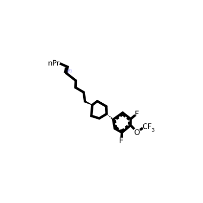 CCC/C=C/CCCC[C@H]1CC[C@H](c2cc(F)c(OC(F)(F)F)c(F)c2)CC1